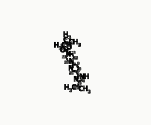 CC(C)c1c[nH]c(-c2ccc(N3CCN(C(=O)OC(C)(C)C)CC3)nc2)n1